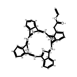 C=COC(=O)Cc1cccc2c3nc4nc(nc5[nH]c(nc6nc(nc([nH]3)c12)-c1ccccc1-6)c1ccccc51)-c1ccccc1-4